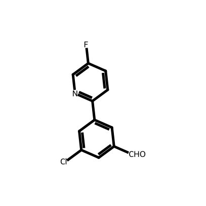 O=Cc1cc(Cl)cc(-c2ccc(F)cn2)c1